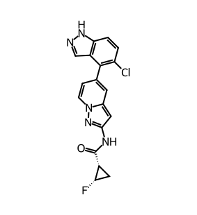 O=C(Nc1cc2cc(-c3c(Cl)ccc4[nH]ncc34)ccn2n1)[C@@H]1C[C@@H]1F